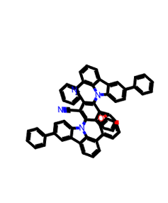 N#Cc1c(C#N)c(-n2c3ccc(-c4ccccc4)cc3c3cccc(-c4ccccc4)c32)c2c3ccc(o3)c2c1-n1c2ccc(-c3ccccc3)cc2c2cccc(-c3ccccc3)c21